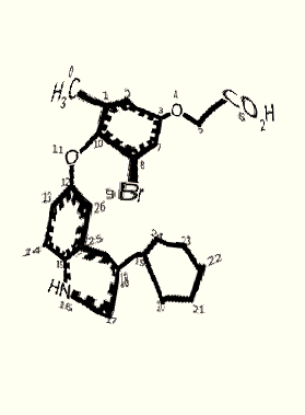 Cc1cc(OCC(=O)O)cc(Br)c1Oc1ccc2[nH]cc(C3CCCCC3)c2c1